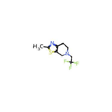 Cc1nc2c(s1)CN(CC(F)(F)F)CC2